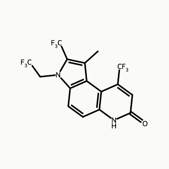 Cc1c(C(F)(F)F)n(CC(F)(F)F)c2ccc3[nH]c(=O)cc(C(F)(F)F)c3c12